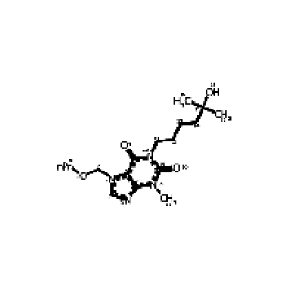 CCCOCn1cnc2c1c(=O)n(CCCCC(C)(C)O)c(=O)n2C